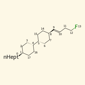 CCCCCCC[C@H]1CC[C@H]([C@H]2CC[C@H](C=CCCF)CC2)CC1